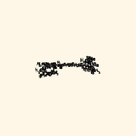 CN[C@H](C)C(=O)N[C@@H](C(=O)N1Cc2cc(OCCOCCOCCOCCOCCC(=O)NCCn3nc4c(c3C#N)-c3cnc(N)c(n3)O[C@H](C)c3cc(F)ccc3C(=O)N(C)C4)ccc2C[C@@H]1C(N)=O)C(C)(C)C